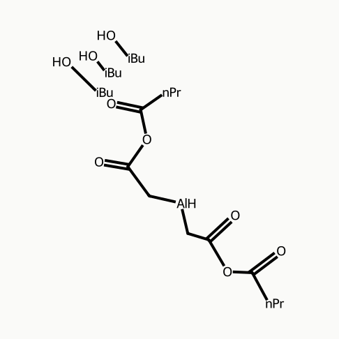 CCC(C)O.CCC(C)O.CCC(C)O.CCCC(=O)OC(=O)[CH2][AlH][CH2]C(=O)OC(=O)CCC